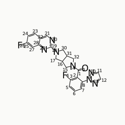 O=C(c1c(F)cccc1-n1nccn1)N1CC2CN(c3ncc4ccc(F)cc4n3)CC2C1